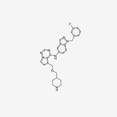 Fc1cccc(Cn2ncc3cc(Nc4ncnn5ccc(COCC6CCNCC6)c45)ccc32)c1